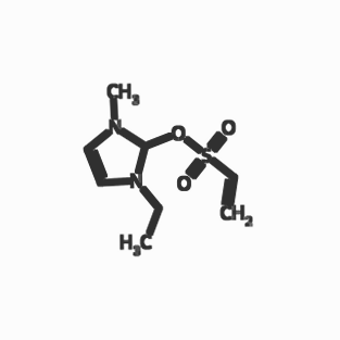 C=CS(=O)(=O)OC1N(C)C=CN1CC